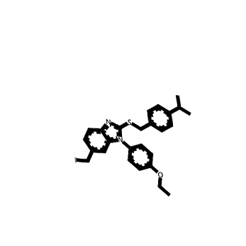 CCOc1ccc(-n2c(SCc3ccc(C(C)C)cc3)nc3ccc(CI)cc32)cc1